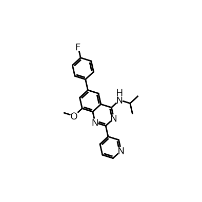 COc1cc(-c2ccc(F)cc2)cc2c(NC(C)C)nc(-c3cccnc3)nc12